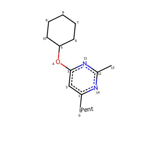 CCCC(C)c1cc(OC2CCCCC2)nc(C)n1